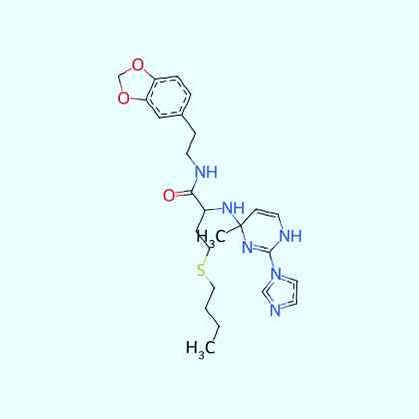 CCCCSCCC(NC1(C)C=CNC(n2ccnc2)=N1)C(=O)NCCc1ccc2c(c1)OCO2